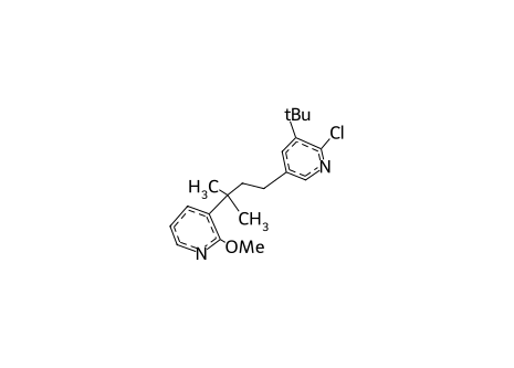 COc1ncccc1C(C)(C)CCc1cnc(Cl)c(C(C)(C)C)c1